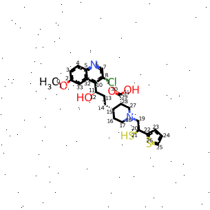 COc1ccc2ncc(Cl)c([C@@H](O)CC[C@H]3CCN(CC(S)c4cccs4)C[C@H]3C(=O)O)c2c1